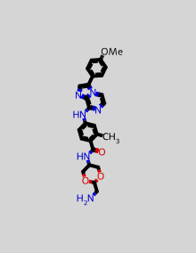 COc1ccc(-c2cnc3c(Nc4ccc(C(=O)NC5COC(CN)OC5)c(C)c4)nccn23)cc1